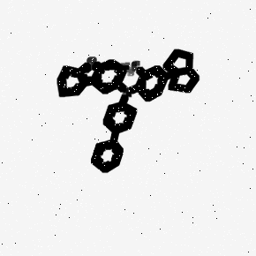 Cc1cc(C23CCCC2CCC3)ccc1N(c1ccc(-c2ccccc2)cc1)c1ccc2oc3ccccc3c2c1